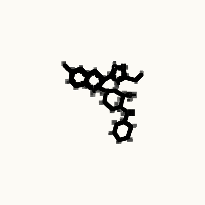 CCc1noc(-c2cc3cc(C)ccc3nc2N2CC[C@H](NC3CCCCC3)[C@H](O)C2)n1